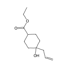 C=CCC1(O)CCC(C(=O)OCC)CC1